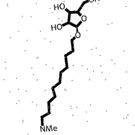 CNCCCCCCCCCCCO[C@@H]1OC(CO)C(O)C1O